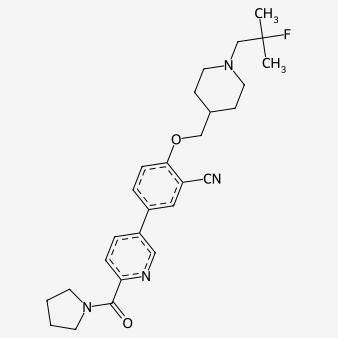 CC(C)(F)CN1CCC(COc2ccc(-c3ccc(C(=O)N4CCCC4)nc3)cc2C#N)CC1